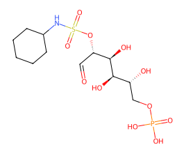 O=C[C@H](OS(=O)(=O)NC1CCCCC1)[C@@H](O)[C@H](O)[C@H](O)COP(=O)(O)O